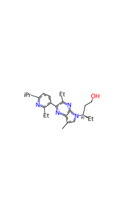 CCc1nc(C(C)C)ccc1-c1nc2c(C)cn([C@H](CC)CCO)c2nc1CC